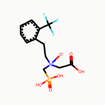 O=C(O)C[N+]([O-])(CCc1ccccc1C(F)(F)F)CP(=O)(O)O